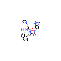 Cn1nnc2cc(CNC(=O)C3CC(Cc4ccccc4C#N)CN3C(=O)C(N)CCCN3CCCC3)ccc21